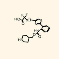 O=C(Nc1ccccc1-c1nc(Cl)cs1)OCC1CCNCC1.O=C(O)C(F)(F)F